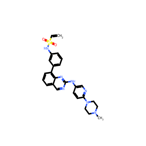 C=CS(=O)(=O)Nc1cccc(-c2cccc3cnc(Nc4ccc(N5CCN(C)CC5)nc4)nc23)c1